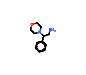 NCC(c1ccccc1)N1CCOCC1